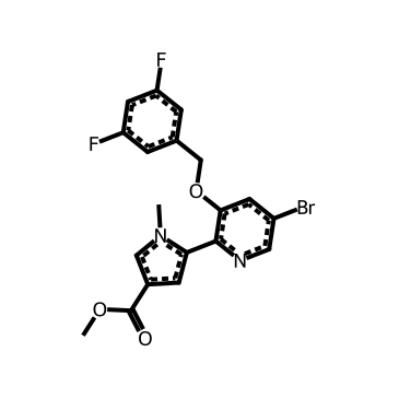 COC(=O)c1cc(-c2ncc(Br)cc2OCc2cc(F)cc(F)c2)n(C)c1